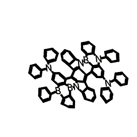 c1ccc(B2c3ccccc3B3c4c2cc(N(c2ccccc2)c2ccccc2)cc4-c2c4c5ccccc5n5c4c(c4c6ccccc6n3c24)-c2cc(N(c3ccccc3)c3ccccc3)cc3c2B5c2ccccc2N3c2ccccc2)cc1